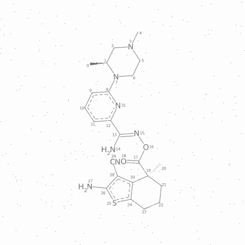 C[C@H]1CN(C)CCN1c1cccc(/C(N)=N/OC(=O)[C@@]2(C)CCCc3sc(N)c(C#N)c32)n1